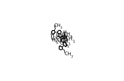 CCCc1ccccc1-c1cccc2c1C=C(C(C)(C)C)[CH]2[Hf]([Cl])([Cl])([CH]1C(C(C)(C)C)=Cc2c(-c3ccccc3CCC)cccc21)[SiH](C)C